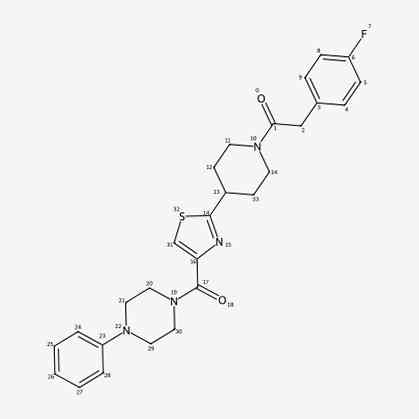 O=C(Cc1ccc(F)cc1)N1CCC(c2nc(C(=O)N3CCN(c4ccccc4)CC3)cs2)CC1